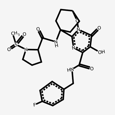 CS(=O)(=O)N1CCCC1C(=O)NC12CCC(CC1)Cn1c2nc(C(=O)NCc2ccc(F)cc2)c(O)c1=O